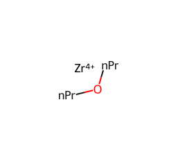 CCCOCCC.[Zr+4]